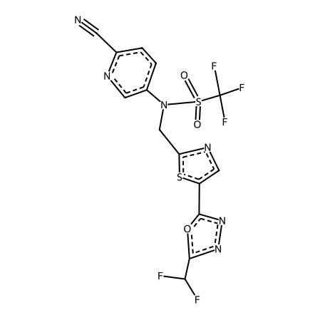 N#Cc1ccc(N(Cc2ncc(-c3nnc(C(F)F)o3)s2)S(=O)(=O)C(F)(F)F)cn1